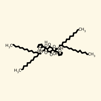 CCCCCCCCCCCCC(CCCCCCCCCC)CNC(=O)C(O)(c1ccco1)C1CC(=O)C(C(O)(C(=O)NCC(CCCCCCCCCC)CCCCCCCCCCCC)c2ccco2)CC1=O